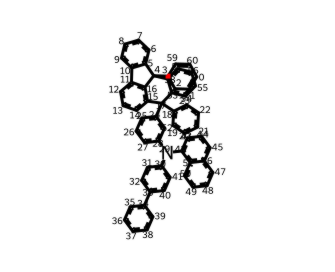 C1=CCC(C23c4ccccc4-c4cccc(c42)C(c2ccccc2)(c2cccc(N(c4ccc(-c5ccccc5)cc4)c4cccc5ccccc45)c2)c2ccccc23)C=C1